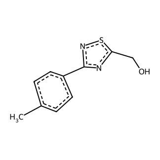 Cc1ccc(-c2nsc(CO)n2)cc1